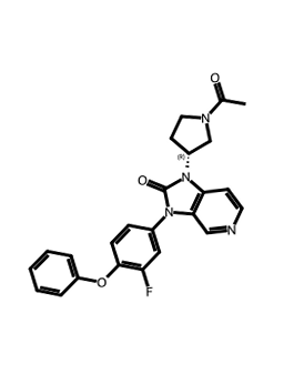 CC(=O)N1CC[C@@H](n2c(=O)n(-c3ccc(Oc4ccccc4)c(F)c3)c3cnccc32)C1